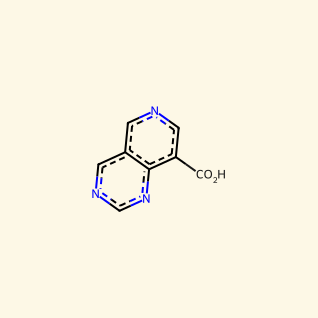 O=C(O)c1cncc2cncnc12